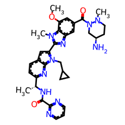 COc1cc(C(=O)N2C[C@H](N)CCN2C)cc2nc(-c3cc4ccc([C@@H](C)NC(=O)c5ncccn5)nc4n3CC3CC3)n(C)c12